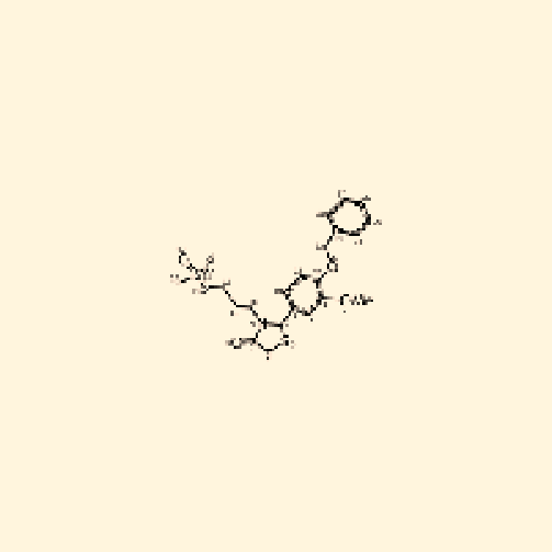 COc1cc(C2SCC(=O)N2CCCSS(C)(=O)=O)ccc1OCc1ccccc1